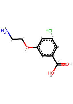 Cl.NCCOc1cccc(C(=O)O)c1